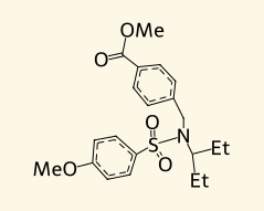 CCC(CC)N(Cc1ccc(C(=O)OC)cc1)S(=O)(=O)c1ccc(OC)cc1